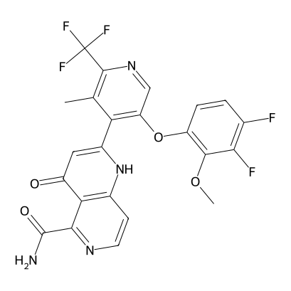 COc1c(Oc2cnc(C(F)(F)F)c(C)c2-c2cc(=O)c3c(C(N)=O)nccc3[nH]2)ccc(F)c1F